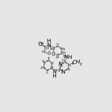 Cc1cnc(Nc2ccccc2)nc1Nc1ccc2c(c1)CCC(=O)N2